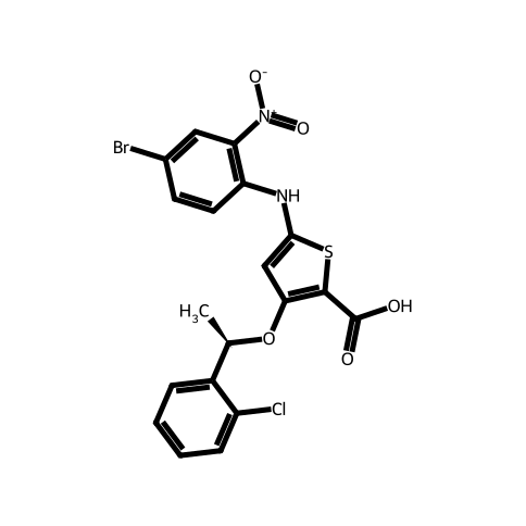 C[C@@H](Oc1cc(Nc2ccc(Br)cc2[N+](=O)[O-])sc1C(=O)O)c1ccccc1Cl